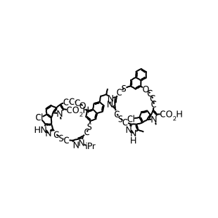 Cc1[nH]nc2c1-c1c(Cl)ccc3c(c(C(=O)O)n(C)c13)CCCOc1cc(cc3ccc(CC(C)n4nc5cc4CSc4cc(c6ccccc6c4)OCCCc4c(C(=O)O)n(C)c6c(c(Cl)ccc46)-c4c(n[nH]c4C)CSC5)cc13)SCc1cc(nn1C(C)C)CSC2